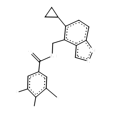 Cc1c(F)cc(C(=O)NCc2c(C3CC3)ccc3[nH]ncc23)cc1F